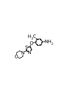 Cc1cc(N)ccc1Oc1cnc(N2CCOCC2)s1